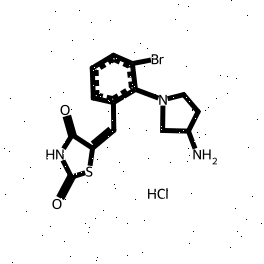 Cl.NC1CCN(c2c(Br)cccc2C=C2SC(=O)NC2=O)C1